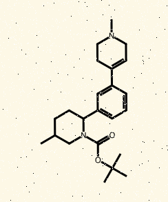 CC1CCC(c2cccc(C3=CCN(C)CC3)c2)N(C(=O)OC(C)(C)C)C1